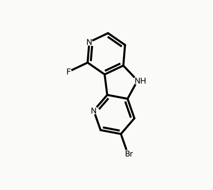 Fc1nccc2[nH]c3cc(Br)cnc3c12